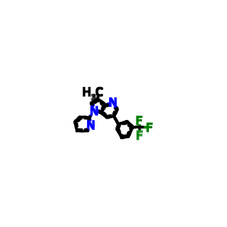 Cc1cn(-c2ccccn2)c2cc(-c3cccc(C(F)(F)F)c3)cnc12